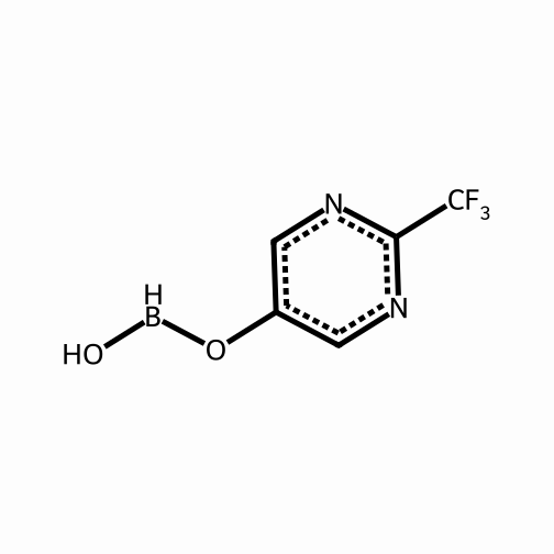 OBOc1cnc(C(F)(F)F)nc1